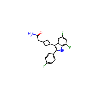 NC(=O)CC1CC(c2c(-c3ccc(F)cc3)[nH]c3c(F)cc(F)cc23)C1